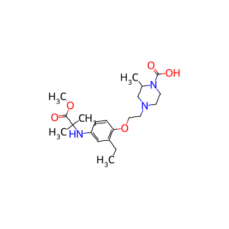 CCc1cc(NC(C)(C)C(=O)OC)ccc1OCCN1CCN(C(=O)O)C(C)C1